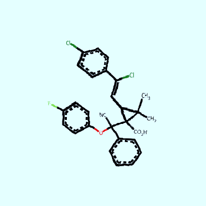 CC1(C)C(C=C(Cl)c2ccc(Cl)cc2)C1(C(=O)O)C(C#N)(Oc1ccc(F)cc1)c1ccccc1